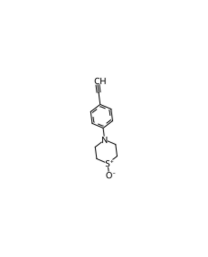 C#Cc1ccc(N2CC[S+]([O-])CC2)cc1